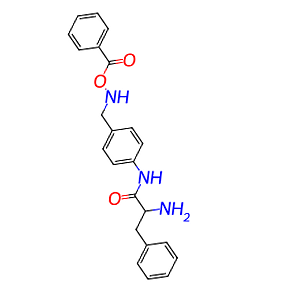 NC(Cc1ccccc1)C(=O)Nc1ccc(CNOC(=O)c2ccccc2)cc1